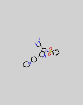 O=S(=O)(c1ccccc1)n1cc(-c2cn[nH]c2)c2cc([C@H]3CC[C@@H](N4CCCCC4)CC3)cnc21